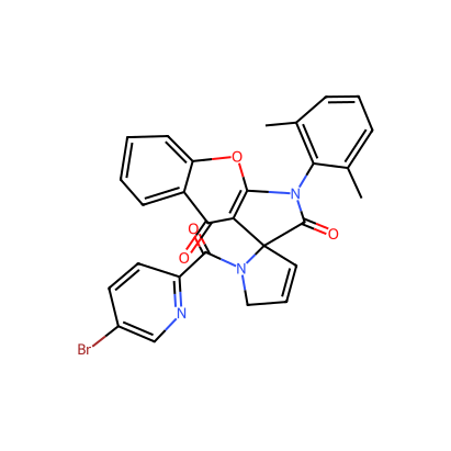 Cc1cccc(C)c1N1C(=O)C2(C=CCN2C(=O)c2ccc(Br)cn2)c2c1oc1ccccc1c2=O